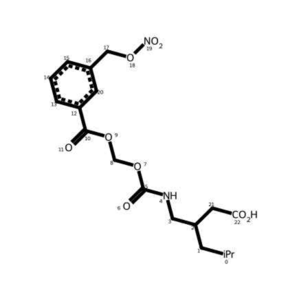 CC(C)CC(CNC(=O)OCOC(=O)c1cccc(CO[N+](=O)[O-])c1)CC(=O)O